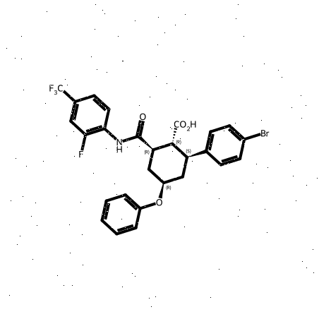 O=C(O)[C@@H]1[C@@H](c2ccc(Br)cc2)C[C@@H](Oc2ccccc2)C[C@H]1C(=O)Nc1ccc(C(F)(F)F)cc1F